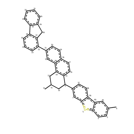 Cc1ccc2sc3cc(C4CC(C)Cc5c4ccc4ccc(-c6cccc7c6Cc6ccccc6-7)cc54)ccc3c2c1